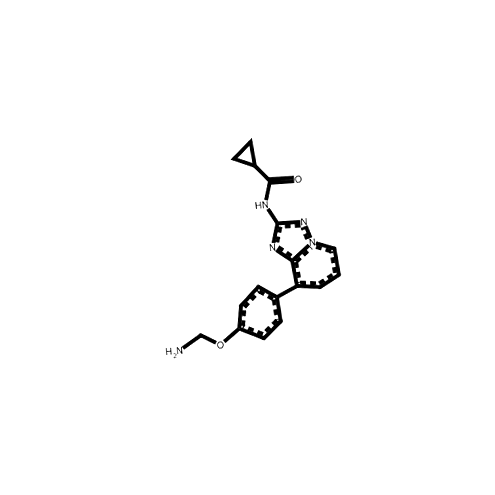 NCOc1ccc(-c2cccn3nc(NC(=O)C4CC4)nc23)cc1